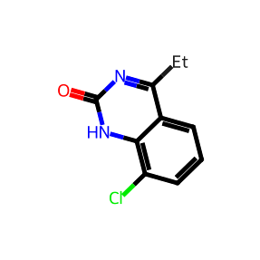 CCc1nc(=O)[nH]c2c(Cl)cccc12